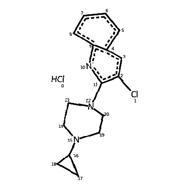 Cl.Clc1cc2ccccc2nc1N1CCN(C2CC2)CC1